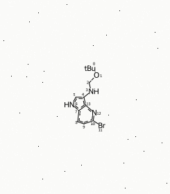 CC(C)(C)OCNc1c[nH]c2ccc(Br)nc12